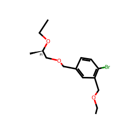 CCOCc1cc(COC[C@@H](C)OCC)ccc1Br